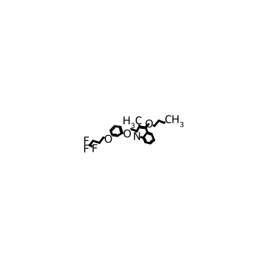 CCCCOc1c(C)c(COc2cccc(OCCCC(F)(F)F)c2)nc2ccccc12